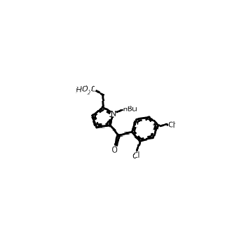 CCCCn1c(CC(=O)O)ccc1C(=O)c1ccc(Cl)cc1Cl